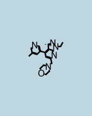 CCn1n[c]c2c(-c3cncc(C)c3)cc(CN3CCOCC3)nc21